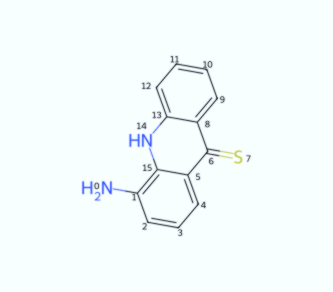 Nc1cccc2c(=S)c3ccccc3[nH]c12